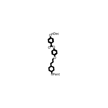 CCCCCCCCCCOc1ccc(C(=O)Oc2ccc(OCCCC3CCC(CCCCC)CC3)cc2)cc1